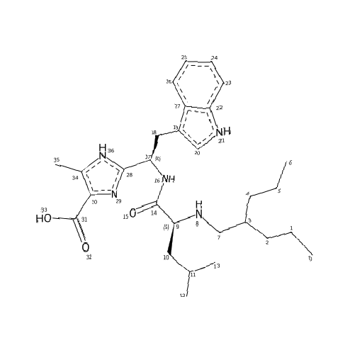 CCCC(CCC)CN[C@@H](CC(C)C)C(=O)N[C@H](Cc1c[nH]c2ccccc12)c1nc(C(=O)O)c(C)[nH]1